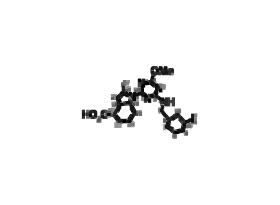 COc1nc(NCc2cccc(F)c2)nc(-n2c(C)cc3c(C(=O)O)cccc32)n1